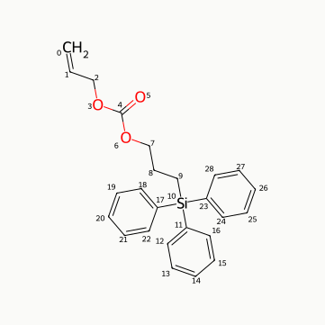 C=CCOC(=O)OCCC[Si](c1ccccc1)(c1ccccc1)c1ccccc1